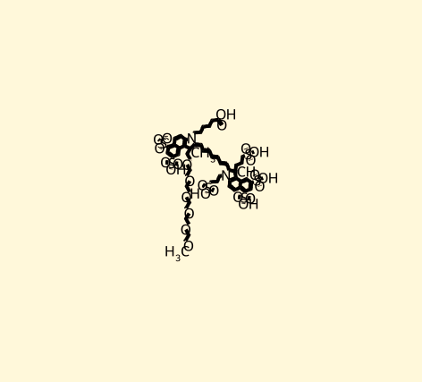 COCCOCCOCCOCCOCCOCCC1(C)\C(=C/C=C/C=C/C=C/C2=[N+](CCCS(=O)(=O)O)c3ccc4c(S(=O)(=O)O)cc(S(=O)(=O)O)cc4c3C2(C)CCCS(=O)(=O)O)N(CCCCCC(=O)O)c2ccc3c(S(=O)(=O)[O-])cc(S(=O)(=O)O)cc3c21